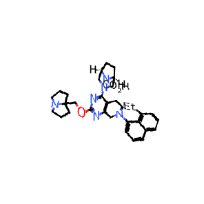 CCc1cccc2cccc(N3CCc4c(nc(OCC56CCCN5CCC6)nc4N4C[C@H]5CC[C@@H](C4)N5C(=O)O)C3)c12